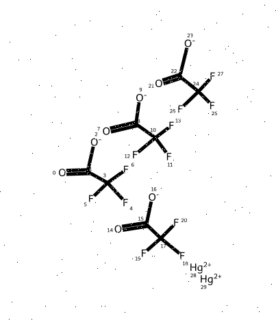 O=C([O-])C(F)(F)F.O=C([O-])C(F)(F)F.O=C([O-])C(F)(F)F.O=C([O-])C(F)(F)F.[Hg+2].[Hg+2]